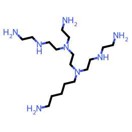 NCCCCCN(CCNCCN)CCN(CCN)CCNCCN